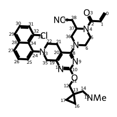 C=CC(=O)N1CCN(c2nc(OCC3(CNC)CC3)nc3c2CCN(c2cccc4cccc(Cl)c24)C3)CC1CC#N